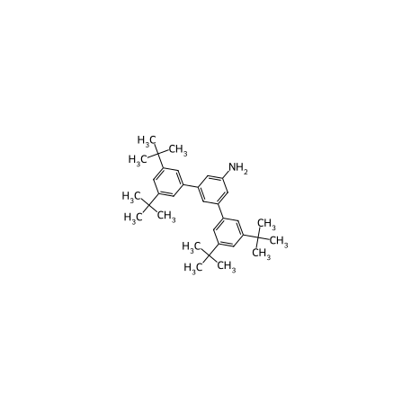 CC(C)(C)c1cc(-c2cc(N)cc(-c3cc(C(C)(C)C)cc(C(C)(C)C)c3)c2)cc(C(C)(C)C)c1